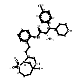 N[C@H](C(=O)Nc1ccccc1CC[C@H]1CN[C@@H]2CCCS(=O)(=O)N1C2)[C@@H](c1ccc(Cl)cc1)C1CCOCC1